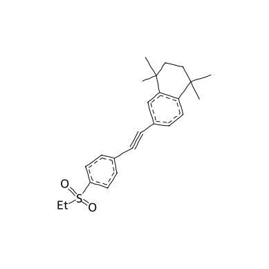 CCS(=O)(=O)c1ccc(C#Cc2ccc3c(c2)C(C)(C)CCC3(C)C)cc1